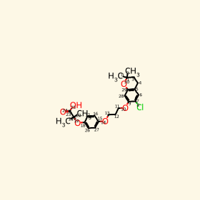 CC1(C)CCc2cc(Cl)c(OCCCOc3ccc(OC(C)(C)C(=O)O)cc3)cc2O1